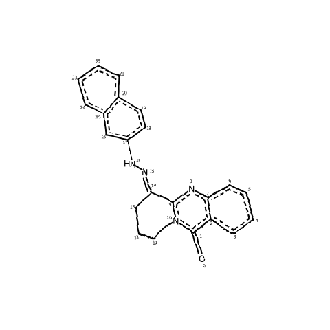 O=c1c2ccccc2nc2n1CCCC2=NNc1ccc2ccccc2c1